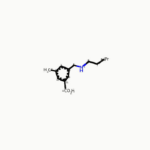 Cc1cc(CNCCC(C)C)cc(C(=O)O)c1